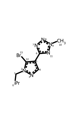 CC(C)Cn1ncc(-c2nnn(C)n2)c1Br